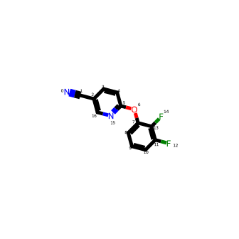 N#Cc1ccc(Oc2cccc(F)c2F)nc1